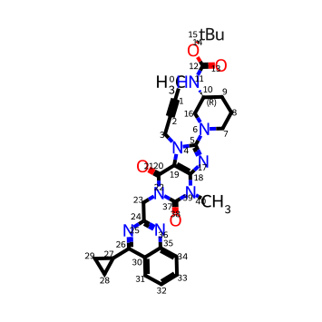 CC#CCn1c(N2CCC[C@@H](NC(=O)OC(C)(C)C)C2)nc2c1c(=O)n(Cc1nc(C3CC3)c3ccccc3n1)c(=O)n2C